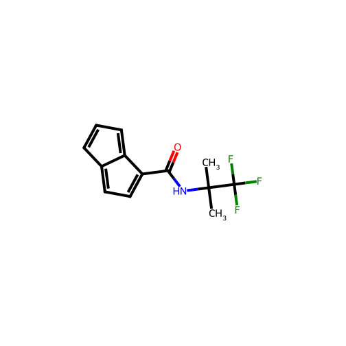 CC(C)(NC(=O)C1=CC=C2C=CC=C21)C(F)(F)F